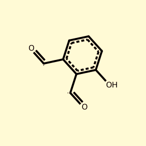 O=[C]c1cccc(O)c1[C]=O